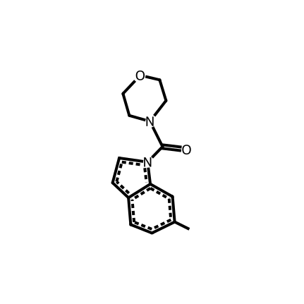 Cc1ccc2ccn(C(=O)N3CCOCC3)c2c1